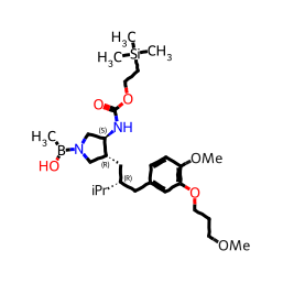 COCCCOc1cc(C[C@@H](C[C@@H]2CN(B(C)O)C[C@H]2NC(=O)OCC[Si](C)(C)C)C(C)C)ccc1OC